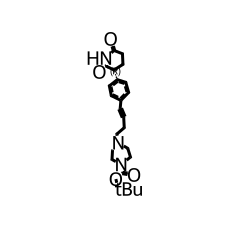 CC(C)(C)OC(=O)N1CCN(CCC#Cc2ccc([C@H]3CCC(=O)NC3=O)cc2)CC1